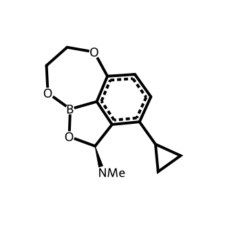 CN[C@H]1OB2OCCOc3ccc(C4CC4)c1c32